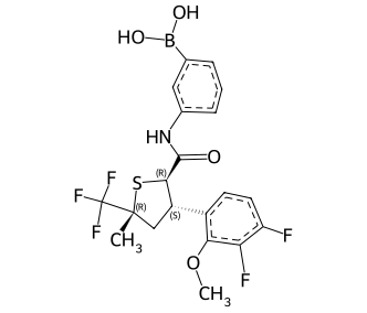 COc1c([C@@H]2C[C@](C)(C(F)(F)F)S[C@H]2C(=O)Nc2cccc(B(O)O)c2)ccc(F)c1F